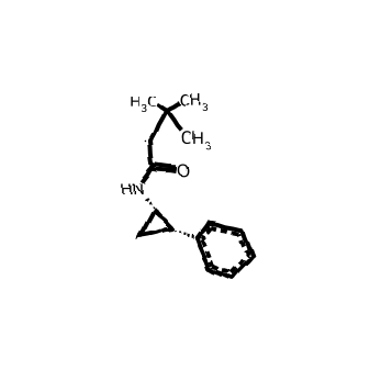 CC(C)(C)[CH]C(=O)N[C@H]1C[C@H]1c1ccccc1